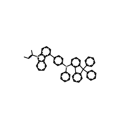 C/C=C(\C)n1c2ccccc2c2c(-c3ccc(N(c4ccccc4)c4cccc5c4-c4ccccc4C5(c4ccccc4)c4ccccc4)cc3)cccc21